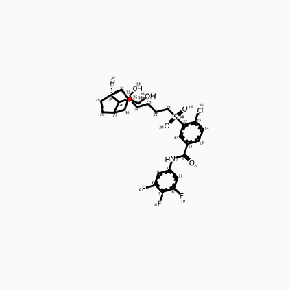 O=C(Nc1cc(F)c(F)c(F)c1)c1ccc(Cl)c(S(=O)(=O)CCCCOC2C3CC[C@H]2C[C@](O)(CO)C3)c1